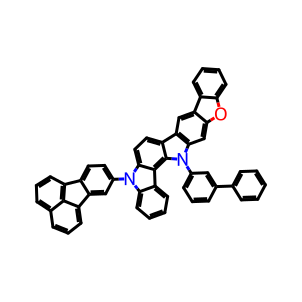 c1ccc(-c2cccc(-n3c4cc5oc6ccccc6c5cc4c4ccc5c(c6ccccc6n5-c5ccc6c(c5)-c5cccc7cccc-6c57)c43)c2)cc1